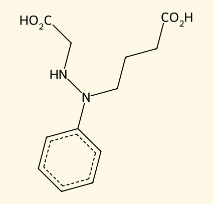 O=C(O)CCCN(NCC(=O)O)c1ccccc1